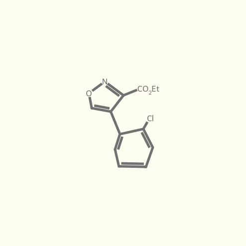 CCOC(=O)c1nocc1-c1ccccc1Cl